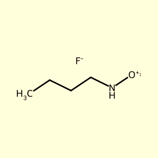 CCCCN[O+].[F-]